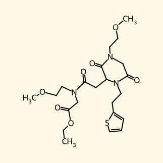 CCOC(=O)CN(CCOC)C(=O)CC1C(=O)N(CCOC)CC(=O)N1CCc1cccs1